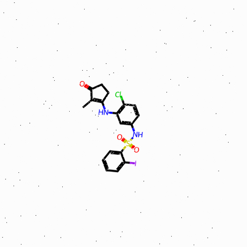 CC1=C(Nc2cc(NS(=O)(=O)c3ccccc3I)ccc2Cl)CCC1=O